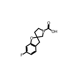 O=C(O)N1CCC2(Cc3ccc(F)cc3O2)C1